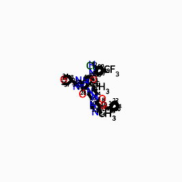 CCc1c(N2CCN(C(=O)c3ncnc(C)c3OCc3ccccc3)C[C@@H]2C)c(=O)n2nc(C3=CCOCC3)nc2n1CC(=O)Nc1ccc(C(F)(F)F)cc1Cl